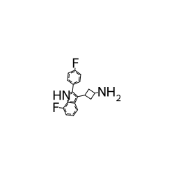 NC1CC(c2c(-c3ccc(F)cc3)[nH]c3c(F)cccc23)C1